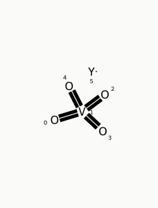 [O]=[V](=[O])(=[O])=[O].[Y]